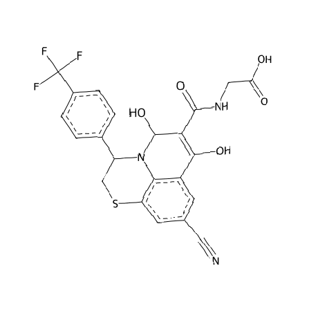 N#Cc1cc2c3c(c1)C(O)=C(C(=O)NCC(=O)O)C(O)N3C(c1ccc(C(F)(F)F)cc1)CS2